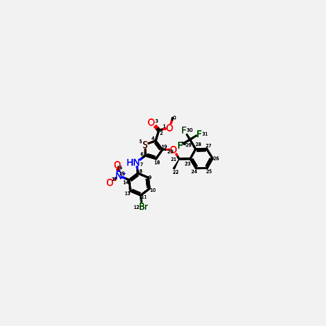 COC(=O)c1sc(Nc2ccc(Br)cc2[N+](=O)[O-])cc1O[C@H](C)c1ccccc1C(F)(F)F